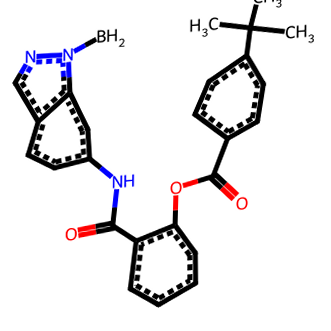 Bn1ncc2ccc(NC(=O)c3ccccc3OC(=O)c3ccc(C(C)(C)C)cc3)cc21